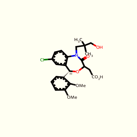 COc1cccc([C@H]2OC(CC(=O)O)C(=O)N(CC(C)(C)CO)c3ccc(Cl)cc32)c1OC